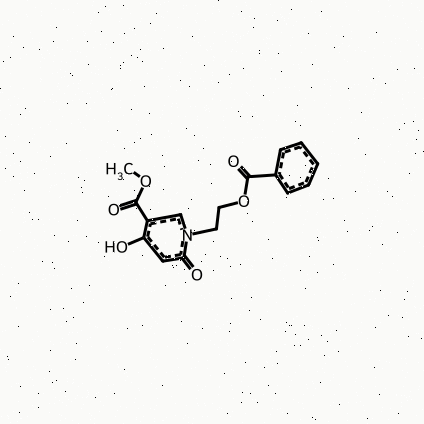 COC(=O)c1cn(CCOC(=O)c2ccccc2)c(=O)cc1O